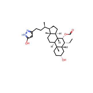 CC[C@H]1[C@@H](OC=O)[C@@H]2[C@H](CC[C@]3(C)[C@@H]([C@H](C)CCc4cc(O)[nH]n4)CC[C@@H]23)[C@@]2(C)CC[C@@H](O)C[C@@H]12